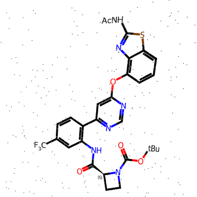 CC(=O)Nc1nc2c(Oc3cc(-c4ccc(C(F)(F)F)cc4NC(=O)[C@@H]4CCN4C(=O)OC(C)(C)C)ncn3)cccc2s1